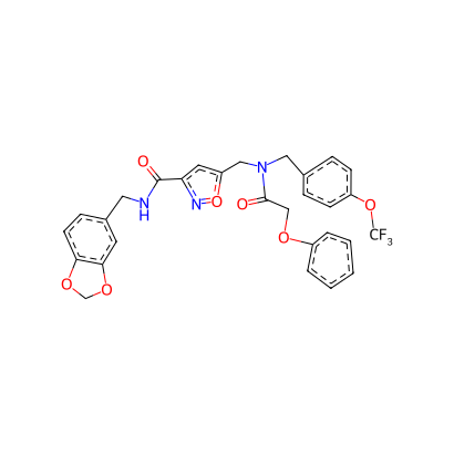 O=C(NCc1ccc2c(c1)OCO2)c1cc(CN(Cc2ccc(OC(F)(F)F)cc2)C(=O)COc2ccccc2)on1